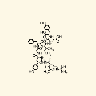 CC[C@H](C)[C@H](NC(=O)[C@H](Cc1ccccc1)NC(=O)CNC(=O)[C@H](CCc1ccc(O)cc1)NC(=O)CNC(=O)[C@H](CCCNC(=N)N)NC(C)=O)C(=O)N[C@@H](CCC(=O)O)C(=O)N[C@@H](Cc1ccc(O)cc1)C(=O)O